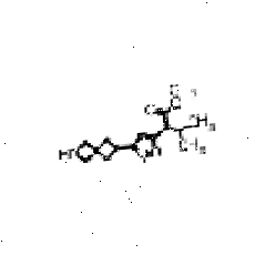 COC(=O)C(c1cc(C2CC3(CNC3)C2)no1)C(C)C